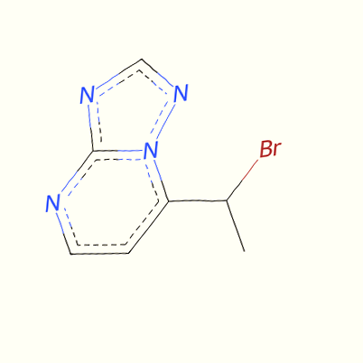 CC(Br)c1ccnc2ncnn12